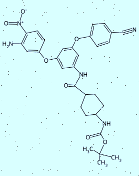 CC(C)(C)OC(=O)NC1CCC(C(=O)Nc2cc(Oc3ccc(C#N)cc3)cc(Oc3ccc([N+](=O)[O-])c(N)c3)c2)CC1